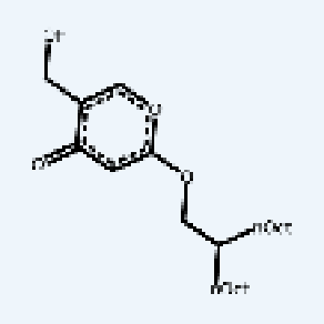 CCCCCCCCC(CCCCCCCC)COc1cc(=O)c(CO)co1